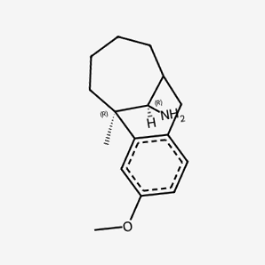 COc1ccc2c(c1)[C@@]1(C)CCCCC(C2)[C@H]1N